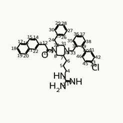 N=C(N)NCCCC1CN(C(=O)Cc2ccc3ccccc3c2)C(Cc2ccccc2)CN1Cc1ccccc1-c1ccc(Cl)cc1